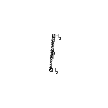 C=CCCCCCCCCCCCCCC[NH+]([O-])CCCCCCCCCCCCCCC=C